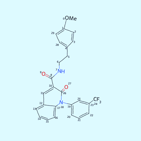 COc1ccc(CCNC(=O)c2cc3ccccc3n(-c3cccc(C(F)(F)F)c3)c2=O)cc1